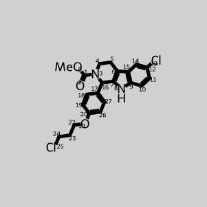 COC(=O)N1CCc2c([nH]c3ccc(Cl)cc23)C1c1ccc(OCCCCl)cc1